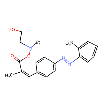 CCN(CCO)OC(=O)C(C)=Cc1ccc(N=Nc2ccccc2[N+](=O)[O-])cc1